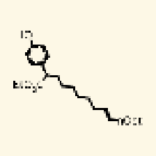 CCCCCCCCC=CCCCCCCC(C(=O)OCC)c1ccc(O)cc1